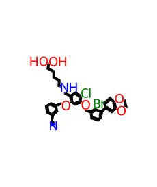 N#Cc1cccc(COc2cc(OCc3cccc(-c4ccc5c(c4)OCCO5)c3Br)c(Cl)cc2CNCCCCCC(O)O)c1